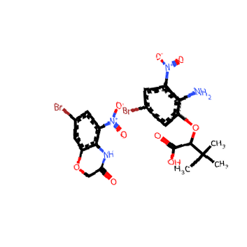 CC(C)(C)C(Oc1cc(Br)cc([N+](=O)[O-])c1N)C(=O)O.O=C1COc2cc(Br)cc([N+](=O)[O-])c2N1